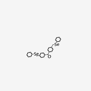 O=C(c1ccc(C[Se]c2ccccc2)cc1)c1ccc(C[Se]c2ccccc2)cc1